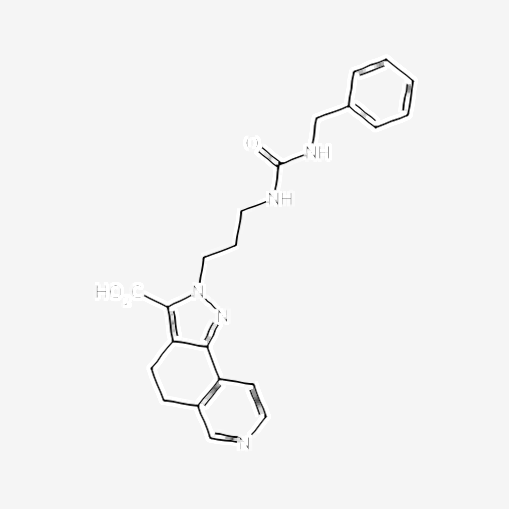 O=C(NCCCn1nc2c(c1C(=O)O)CCc1cnccc1-2)NCc1ccccc1